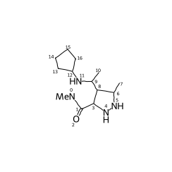 CNC(=O)C1NNC(C)C1C(C)NC1CCCC1